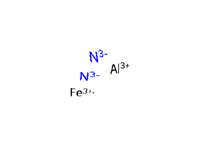 [Al+3].[Fe+3].[N-3].[N-3]